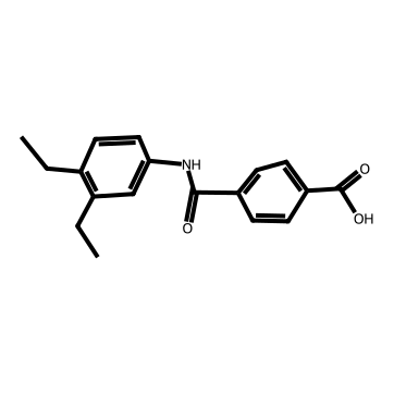 CCc1ccc(NC(=O)c2ccc(C(=O)O)cc2)cc1CC